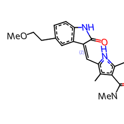 CNC(=O)c1c(C)[nH]c(/C=C2\C(=O)Nc3ccc(CCOC)cc32)c1C